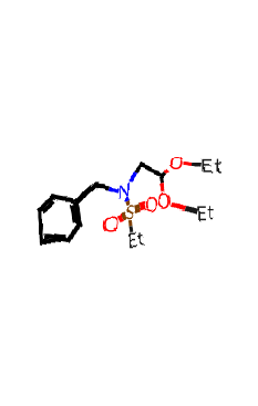 CCOC(CN(Cc1ccccc1)S(=O)(=O)CC)OCC